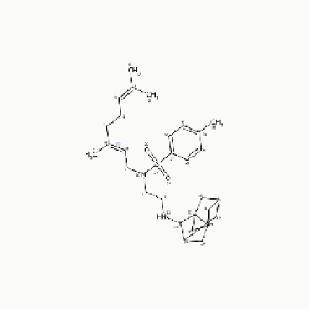 CC(C)=CCC/C(C)=C/CN(CCNC1C2CC3CC4(C2)CC14C3)S(=O)(=O)c1ccc(C)cc1